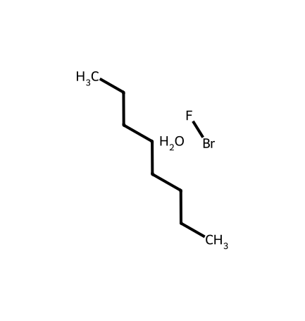 CCCCCCCC.FBr.O